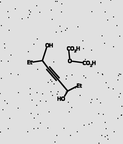 CCC(O)C#CC(O)CC.O=C(O)OC(=O)O